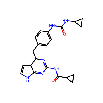 O=C(Nc1ccc(CC2N=C(NC(=O)C3CC3)N=C3NC=CC32)cc1)NC1CC1